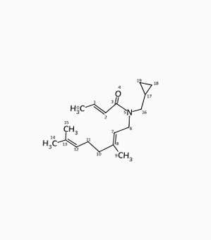 C/C=C/C(=O)N(C/C=C(\C)CCC=C(C)C)CC1CC1